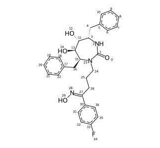 O=C1N[C@@H](Cc2ccccc2)[C@@H](O)[C@H](O)[C@H](Cc2ccccc2)N1CCCC(=NO)c1ccc(F)cc1